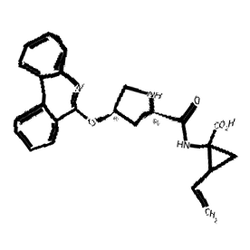 C=CC1CC1(NC(=O)[C@H]1C[C@@H](Oc2nc3ccccc3c3ccccc23)CN1)C(=O)O